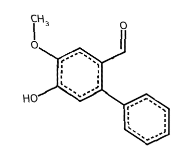 COc1cc(C=O)c(-c2ccccc2)cc1O